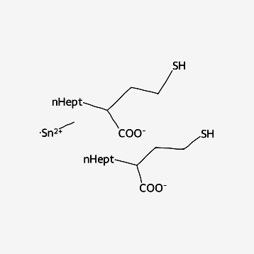 CCCCCCCC(CCS)C(=O)[O-].CCCCCCCC(CCS)C(=O)[O-].[CH3][Sn+2]